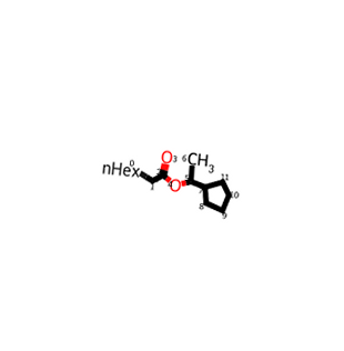 CCCCCC[CH]C(=O)OC(C)C1CCCC1